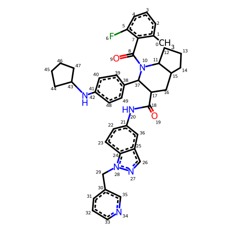 Cc1cccc(F)c1C(=O)N1C2CCCC2CC(C(=O)Nc2ccc3c(cnn3Cc3cccnc3)c2)C1c1ccc(NC2CCCC2)cc1